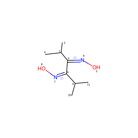 CC(C)C(=N/O)/C(=N\O)C(C)C